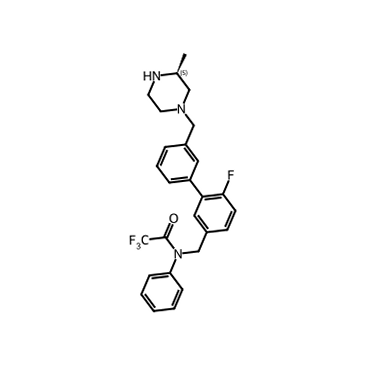 C[C@H]1CN(Cc2cccc(-c3cc(CN(C(=O)C(F)(F)F)c4ccccc4)ccc3F)c2)CCN1